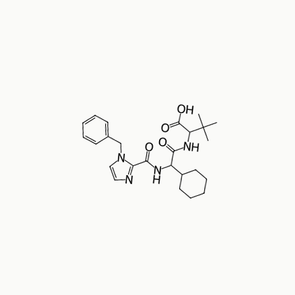 CC(C)(C)C(NC(=O)C(NC(=O)c1nccn1Cc1ccccc1)C1CCCCC1)C(=O)O